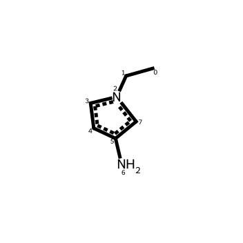 CCn1ccc(N)c1